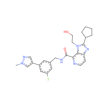 Cn1cc(-c2cc(F)cc(CNC(=O)c3nccc4nc(C5CCCC5)n(CCO)c34)c2)cn1